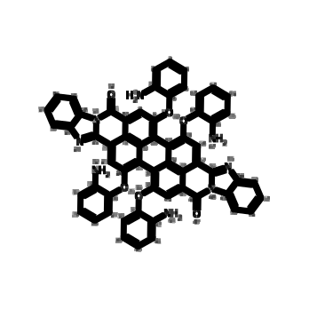 Nc1ccccc1Oc1cc2c(=O)n3c4ccccc4nc3c3cc(Oc4ccccc4N)c4c5c(Oc6ccccc6N)cc6c(=O)n7c8ccccc8nc7c7cc(Oc8ccccc8N)c(c1c4c23)c5c67